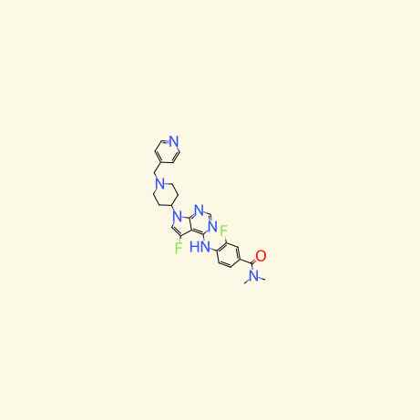 CN(C)C(=O)c1ccc(Nc2ncnc3c2c(F)cn3C2CCN(Cc3ccncc3)CC2)c(F)c1